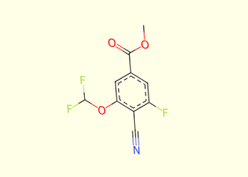 COC(=O)c1cc(F)c(C#N)c(OC(F)F)c1